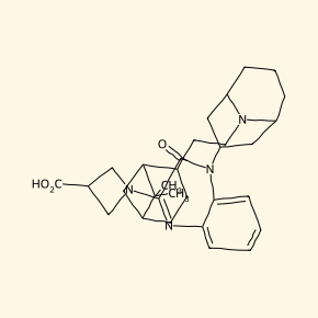 CC1(C)C2CCC(CCN3C4CCCC3CC(n3c(=O)c(N5CC(C(=O)O)C5)nc5ccccc53)C4)C1C2